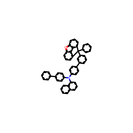 c1ccc(-c2ccc(N(c3ccc(-c4cccc(C5(c6ccccc6)c6cccc7oc8cccc5c8c67)c4)cc3)c3cccc4ccccc34)cc2)cc1